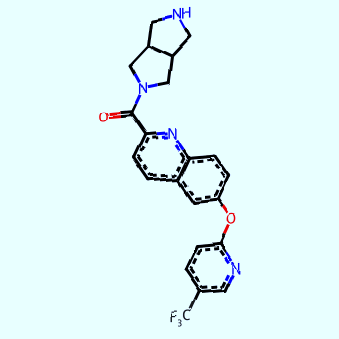 O=C(c1ccc2cc(Oc3ccc(C(F)(F)F)cn3)ccc2n1)N1CC2CNCC2C1